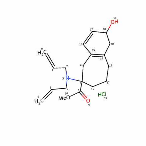 C=CCN(CC=C)C1(C(=O)OC)CCCC2=C(C=CC(O)C2)C1.Cl